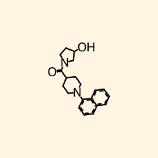 O=C(C1CCN(c2cccc3ccccc23)CC1)N1CCC(O)C1